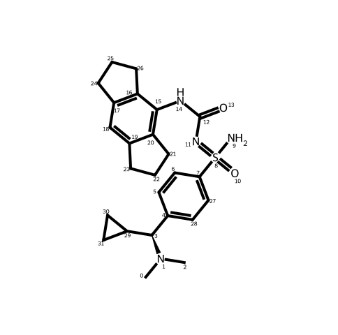 CN(C)[C@H](c1ccc(S(N)(=O)=NC(=O)Nc2c3c(cc4c2CCC4)CCC3)cc1)C1CC1